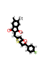 CCc1cc2c(cc1C)C(=O)/C(=C/c1cc3oc(-c4ccc(F)cc4)cc3s1)C2=O